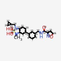 CN1c2cc(-c3cccc(CNC(=O)c4ccon4)c3)ccc2N(CC2CC2)S1(O)O